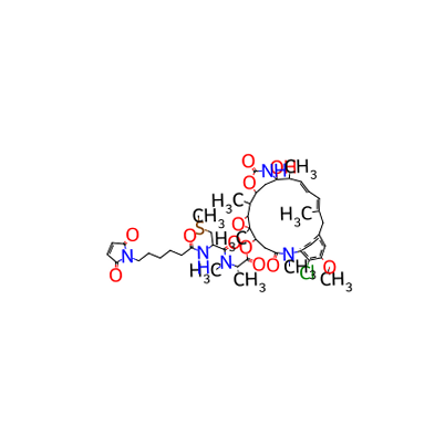 COc1cc2cc(c1Cl)N(C)C(=O)CC(OC(=O)[C@H](C)N(C)C(=O)C(CSC)NC(=O)CCCCCN1C(=O)C=CC1=O)C1(C)OC1C(C)C1CC(O)(NC(=O)O1)C(C)/C=C/C=C(\C)C2